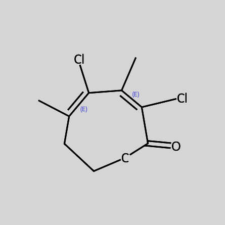 C/C1=C(Cl)/C(C)=C(/Cl)C(=O)CCC1